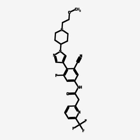 COCCN1CCC(n2cc(-c3c(F)cc(NC(=O)Cc4cccc(C(F)(F)F)n4)cc3C#N)cn2)CC1